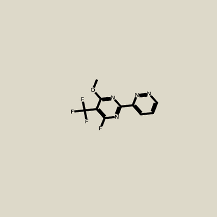 COc1nc(-c2cccnn2)nc(F)c1C(F)(F)F